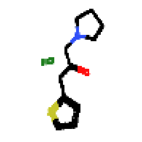 Cl.O=C(Cc1cccs1)CN1CCCC1